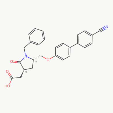 N#Cc1ccc(-c2ccc(OC[C@@H]3C[C@@H](CC(=O)O)C(=O)N3Cc3ccccc3)cc2)cc1